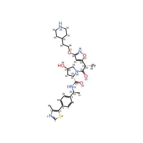 Cc1ncsc1-c1ccc([C@H](C)NC(=O)[C@@H]2C[C@@H](O)CN2C(=O)[C@H](c2cc(OCCC3CCNCC3)no2)C(C)C)cc1